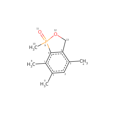 Cc1cc(C)c2c(c1C)P(C)(=O)OC2